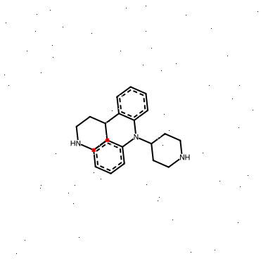 c1ccc(N(c2ccccc2C2CCNCC2)C2CCNCC2)cc1